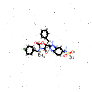 CCS(=O)(=O)Nc1ccc2nc([C@@]3(Cc4ccccc4)OC(=O)N([C@H](C)c4ccc(F)cc4)C3=O)[nH]c2c1